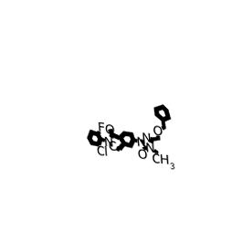 CCn1c(COCc2ccccc2)nn(-c2ccc3c(=O)n(-c4c(F)cccc4Cl)ccc3c2)c1=O